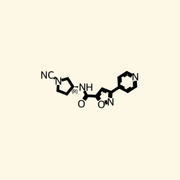 N#CN1CC[C@@H](NC(=O)c2cc(-c3ccncc3)no2)C1